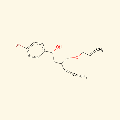 C=C=CC(COCC=C)CC(O)c1ccc(Br)cc1